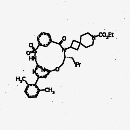 CCOC(=O)N1CCC2(CC1)CC(N1C(=O)c3cccc(c3)S(=O)(=O)Nc3nc(cc(-c4c(C)cccc4C)n3)OC[C@H]1CC(C)C)C2